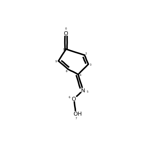 O=C1C=CC(=NOO)C=C1